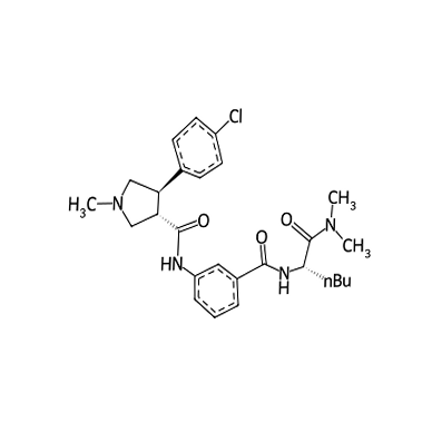 CCCC[C@H](NC(=O)c1cccc(NC(=O)[C@@H]2CN(C)C[C@H]2c2ccc(Cl)cc2)c1)C(=O)N(C)C